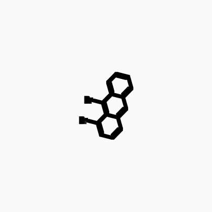 Brc1cccc2cc3ccccc3c(Br)c12